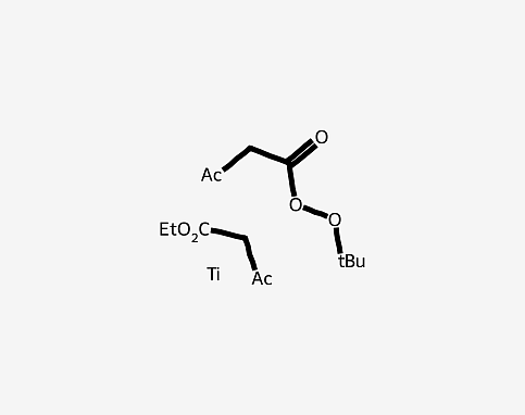 CC(=O)CC(=O)OOC(C)(C)C.CCOC(=O)CC(C)=O.[Ti]